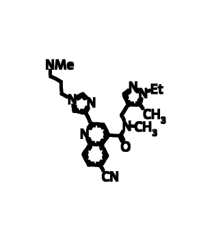 CCn1ncc(CN(C)C(=O)c2cc(-c3cn(CCCNC)cn3)nc3ccc(C#N)cc23)c1C